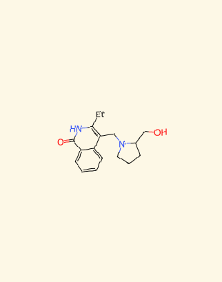 CCc1[nH]c(=O)c2ccccc2c1CN1CCCC1CO